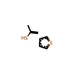 C=C(C)S.c1ccsc1